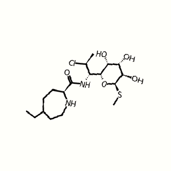 CCC1CCN[C@H](C(=O)N[C@@H]([C@H]2O[C@H](SC)[C@H](O)[C@@H](O)[C@H]2O)[C@H](C)Cl)CC1